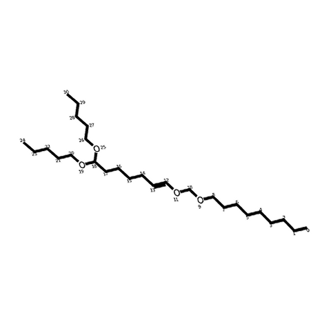 CCCCCCCCCOCOC=CCCCCC(OCCCCC)OCCCCC